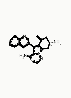 C=C1C[C@H](N)Cc2c1c(-c1cnc3ccccc3c1)c1c(N)ncnn21